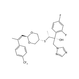 CC(=C[C@H]1OC[C@H](S[C@H](C)[C@](O)(Cn2cncn2)c2ccc(F)cc2F)CO1)c1ccc(C(F)(F)F)cc1